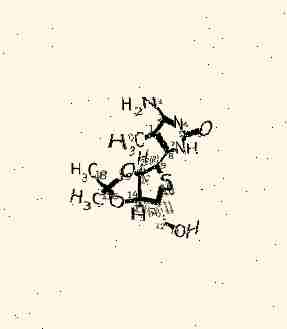 Cc1c(N)nc(=O)[nH]c1[C@H]1S[C@H](CO)[C@H]2OC(C)(C)O[C@H]21